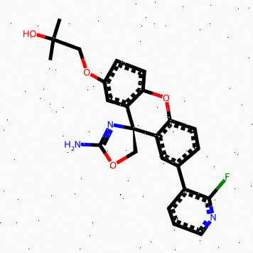 CC(C)(O)COc1ccc2c(c1)[C@]1(COC(N)=N1)c1cc(-c3cccnc3F)ccc1O2